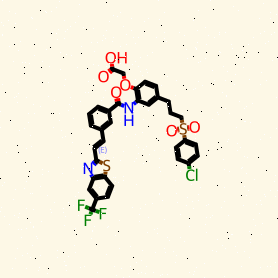 O=C(O)COc1ccc(CCCS(=O)(=O)c2ccc(Cl)cc2)cc1NC(=O)c1cccc(/C=C/c2nc3cc(C(F)(F)F)ccc3s2)c1